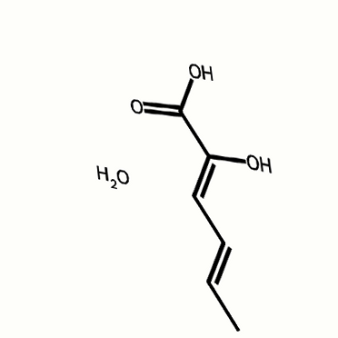 CC=CC=C(O)C(=O)O.O